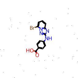 O=C(O)c1ccc(Nc2nc3cccc(Br)n3n2)cc1